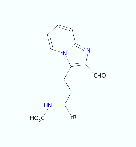 CC(C)(C)C(CCc1c(C=O)nc2ccccn12)NC(=O)O